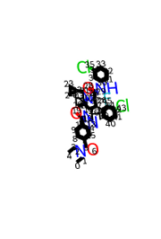 CCN(CC)C(=O)c1ccc2c3n(nc2c1)[C@@H]1[C@H](CO3)N(CC2CC2)[C@@](C)(C(=O)Nc2cccc(Cl)c2)[C@H]1c1cccc(Cl)c1F